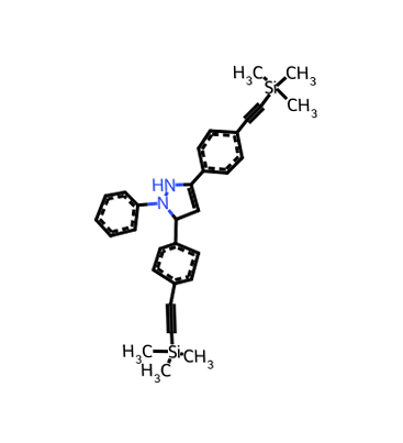 C[Si](C)(C)C#Cc1ccc(C2=CC(c3ccc(C#C[Si](C)(C)C)cc3)N(c3ccccc3)N2)cc1